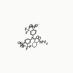 NC(=O)C1CCCCC1C(=O)N(c1ccc([N+](=O)[O-])c(C(F)(F)F)c1)c1ccc([N+](=O)[O-])c(C(F)(F)F)c1